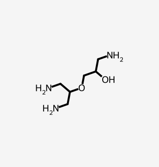 NCC(O)COC(CN)CN